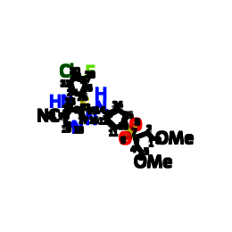 COCCC(CCOC)S(=O)(=O)c1ccc(Nc2nc3ncc(C#N)c(Nc4ccc(F)c(Cl)c4)c3s2)cc1